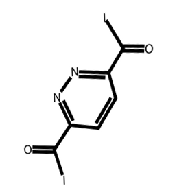 O=C(I)c1ccc(C(=O)I)nn1